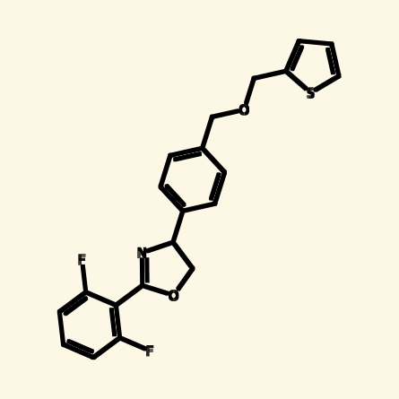 Fc1cccc(F)c1C1=NC(c2ccc(COCc3cccs3)cc2)CO1